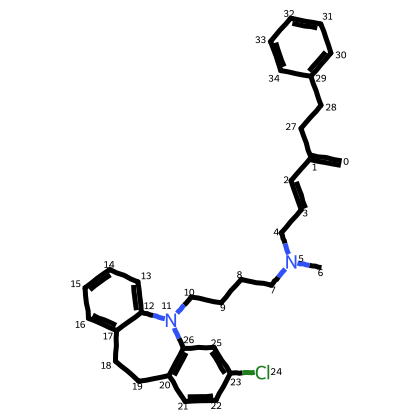 C=C(/C=C/CN(C)CCCCN1c2ccccc2CCc2ccc(Cl)cc21)CCc1ccccc1